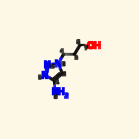 Nc1cn(CCCO)nn1